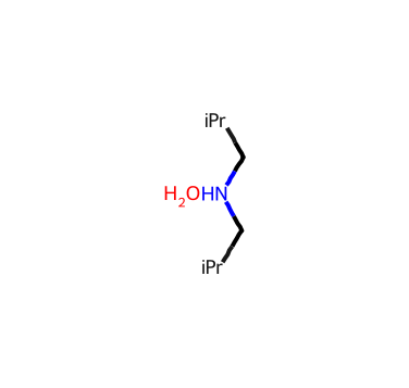 CC(C)CNCC(C)C.O